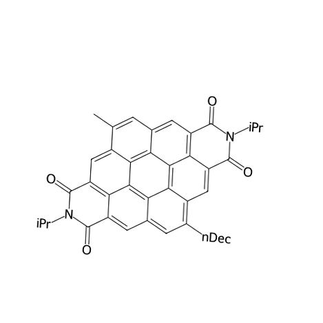 CCCCCCCCCCc1cc2cc3c(=O)n(C(C)C)c(=O)c4cc5c(C)cc6cc7c(=O)n(C(C)C)c(=O)c8cc1c1c2c(c34)c5c6c1c78